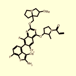 C=CC(=O)N1CCC(Oc2nc(OCC34CCCN3CC(OC)C4)nc3c(F)c(-c4ccc(F)c5sc(N)c(C#N)c45)c(C(F)(F)F)cc23)C1C